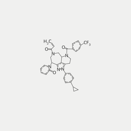 C=CC(=O)N1CC2c3c(nn(-c4ccc(C5CC5)cc4)c3CCN2C(=O)c2ccc(C(F)(F)F)cc2)C(n2ccccc2=O)C1